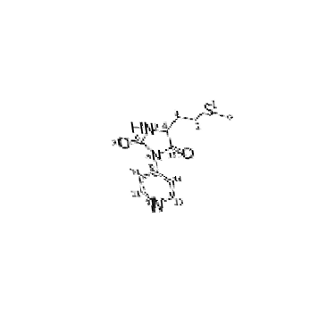 CSCCC1NC(=O)N(c2ccncc2)C1=O